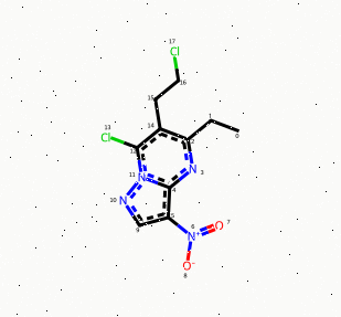 CCc1nc2c([N+](=O)[O-])cnn2c(Cl)c1CCCl